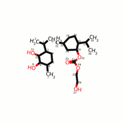 CC(C)C1CCC(C)C(O)C1O.CC1CCC(C(C)C)C(OC(=O)OCCO)C1